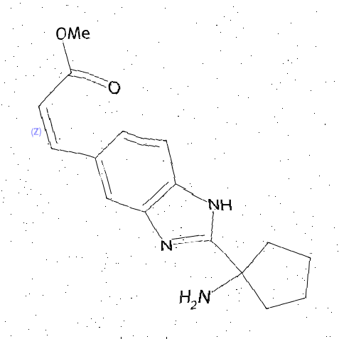 COC(=O)/C=C\c1ccc2[nH]c(C3(N)CCCC3)nc2c1